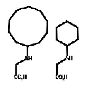 O=C(O)CNC1CCCCC1.O=C(O)CNC1CCCCCCCCC1